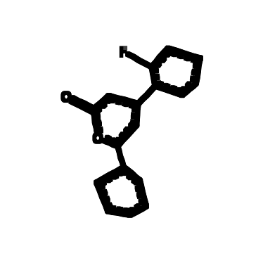 O=c1cc(-c2ccccc2F)cc(-c2ccccc2)o1